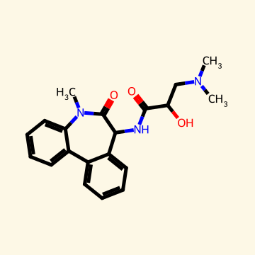 CN(C)CC(O)C(=O)NC1C(=O)N(C)c2ccccc2-c2ccccc21